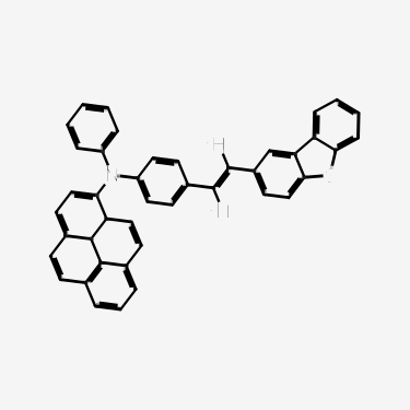 [2H]/C(=C(/[2H])c1ccc2sc3ccccc3c2c1)c1ccc(N(C2=CC=C3C=Cc4cccc5c4C3C2C=C5)c2ccccc2)cc1